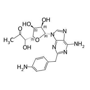 CC(=O)C(O)[C@H]1O[C@@H](n2cnc3c(N)nc(Cc4ccc(N)cc4)nc32)[C@H](O)[C@@H]1O